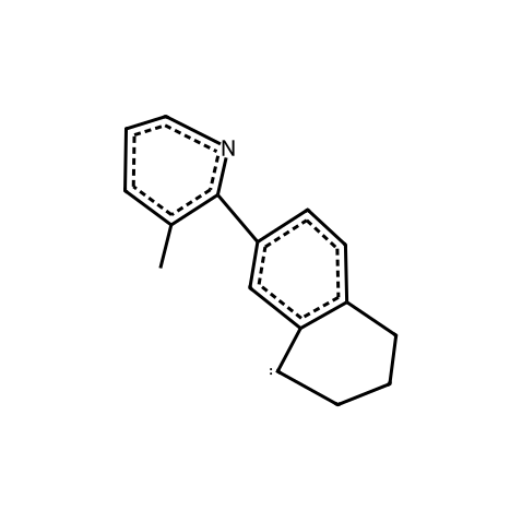 Cc1cccnc1-c1ccc2c(c1)[C]CCC2